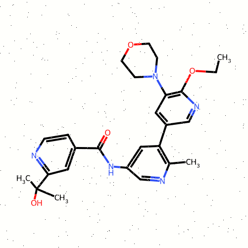 CCOc1ncc(-c2cc(NC(=O)c3ccnc(C(C)(C)O)c3)cnc2C)cc1N1CCOCC1